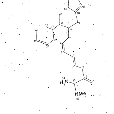 C=C(C/C=C/C=C\C=C(\CC1=CC=CC1)C(C)C(C)C/C=C\C)C(N)NC